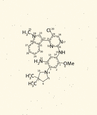 COc1cc(N2CCC(C)(C)C2)c(N)cc1Nc1ncc(Cl)c(-c2cn(C)c3ccccc23)n1